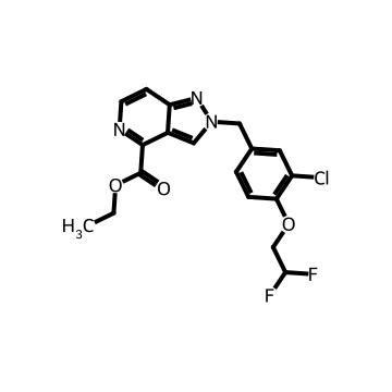 CCOC(=O)c1nccc2nn(Cc3ccc(OCC(F)F)c(Cl)c3)cc12